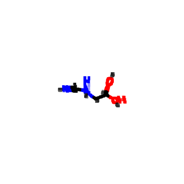 N#CNCC(=O)O